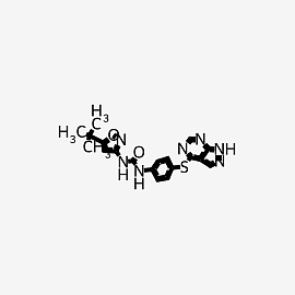 CC(C)(C)c1cc(NC(=O)Nc2ccc(Sc3ncnc4[nH]ncc34)cc2)no1